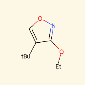 CCOc1nocc1C(C)(C)C